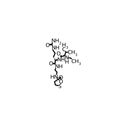 CCN[C@H](C(=O)N[C@@H](CCCNC(N)=O)C(=O)NCCNP1(=O)CCSO1)C(C)C